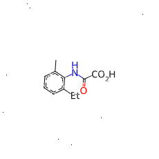 CCc1cccc(C)c1NC(=O)C(=O)O